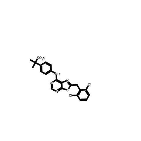 CC(C)(C(=O)O)c1ccc(Nc2ncnc3sc(Cc4c(Cl)cccc4Cl)nc23)cc1